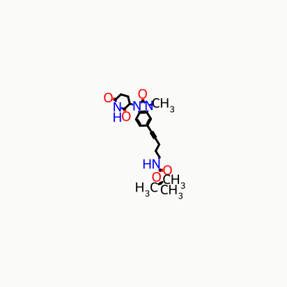 Cn1c(=O)n(C2CCC(=O)NC2=O)c2ccc(C#CCCCNC(=O)OC(C)(C)C)cc21